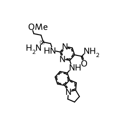 COCC[C@H](N)CNc1ncc(C(N)=O)c(Nc2cccc3c2cc2n3CCC2)n1